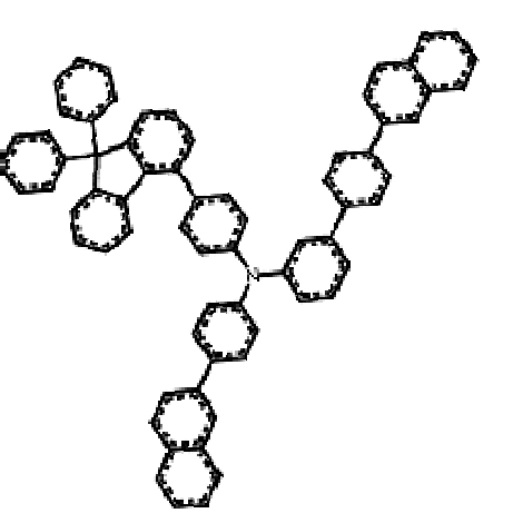 c1ccc(C2(c3ccccc3)c3ccccc3-c3c(-c4ccc(N(c5ccc(-c6ccc7ccccc7c6)cc5)c5cccc(-c6ccc(-c7ccc8ccccc8c7)cc6)c5)cc4)cccc32)cc1